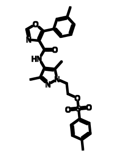 Cc1ccc(S(=O)(=O)OCCn2nc(C)c(NC(=O)c3ncoc3-c3cccc(C)c3)c2C)cc1